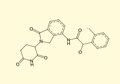 [CH2]c1ccccc1C([O])C(=O)Nc1cccc2c1CN(C1CCC(=O)NC1=O)C2=O